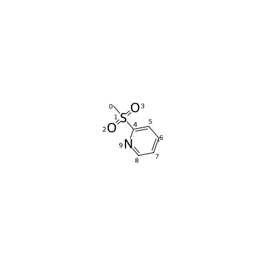 CS(=O)(=O)c1c[c]ccn1